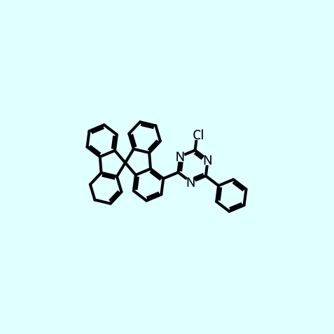 Clc1nc(-c2ccccc2)nc(-c2cccc3c2-c2ccccc2C32C3=C(CCC=C3)c3ccccc32)n1